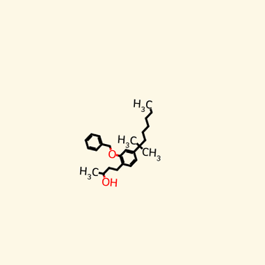 CCCCCCC(C)(C)c1ccc(CCC(C)O)c(OCc2ccccc2)c1